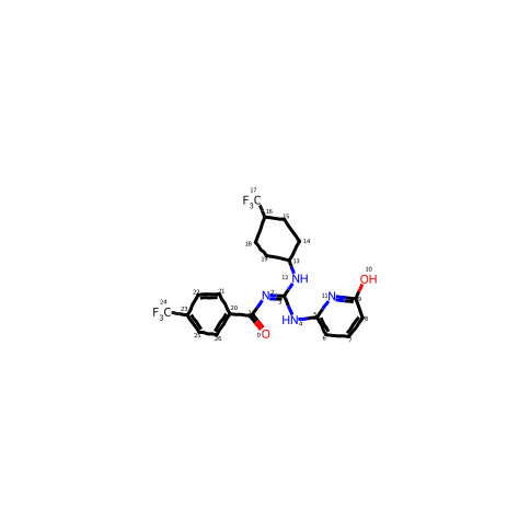 O=C(/N=C(\Nc1cccc(O)n1)NC1CCC(C(F)(F)F)CC1)c1ccc(C(F)(F)F)cc1